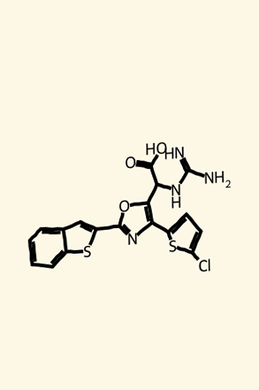 N=C(N)NC(C(=O)O)c1oc(-c2cc3ccccc3s2)nc1-c1ccc(Cl)s1